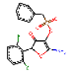 NC1=C(OS(=O)(=O)Cc2ccccc2)C(=O)C(c2c(F)cccc2Cl)O1